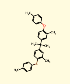 Cc1ccc(Oc2ccc(C(C)(C)c3ccc(Sc4ccc(C)cc4)c(C)c3)cc2C)cc1